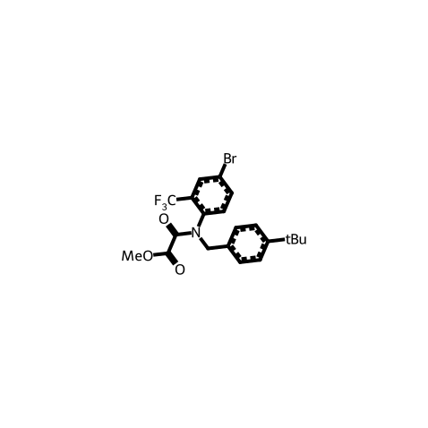 COC(=O)C(=O)N(Cc1ccc(C(C)(C)C)cc1)c1ccc(Br)cc1C(F)(F)F